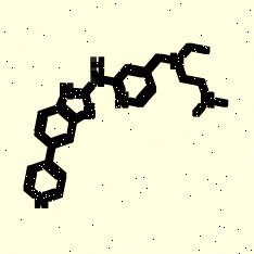 CCN(CCN(C)C)Cc1ccnc(Nc2nc3ccc(-c4ccncc4)cc3s2)c1